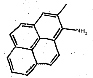 Cc1cc2ccc3cccc4ccc(c1N)c2c34